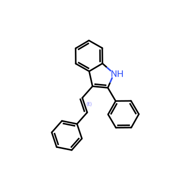 C(=C\c1c(-c2ccccc2)[nH]c2ccccc12)/c1ccccc1